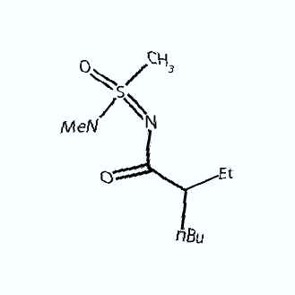 CCCCC(CC)C(=O)N=S(C)(=O)NC